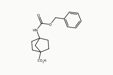 O=C(NC12CCC(C(=O)O)(CC1)C2)OCc1ccccc1